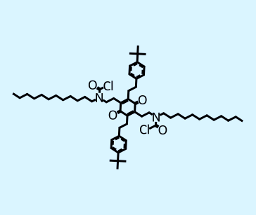 CCCCCCCCCCCCN(CCC1=C(CCc2ccc(C(C)(C)C)cc2)C(=O)C(CCN(CCCCCCCCCCCC)C(=O)Cl)=C(CCc2ccc(C(C)(C)C)cc2)C1=O)C(=O)Cl